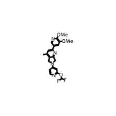 COc1cc(-c2cc(C)c3c(n2)CN(c2ccnc(OC(F)F)c2)C3)cnc1OC